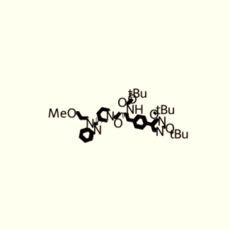 COCCCn1c([C@@H]2CCCN(C(=O)C[C@@H](Cc3ccc(-c4cnc(OC(C)(C)C)nc4OC(C)(C)C)cc3)NC(=O)OC(C)(C)C)C2)nc2ccccc21